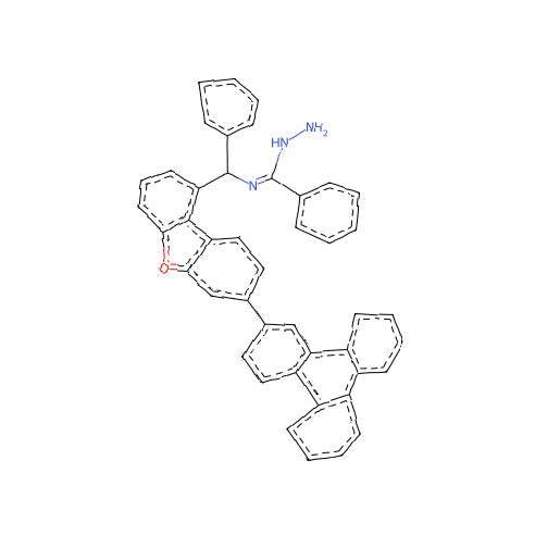 NN/C(=N\C(c1ccccc1)c1cccc2oc3cc(-c4ccc5c6ccccc6c6ccccc6c5c4)ccc3c12)c1ccccc1